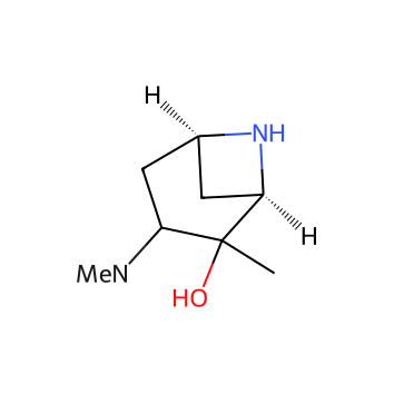 CNC1C[C@@H]2C[C@@H](N2)C1(C)O